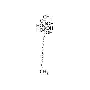 CCCCCCCCC=CCCCCCCCCC(O)[C@@H](O)[C@@H](O)[C@H](O)[C@@H](O)C(=O)CC